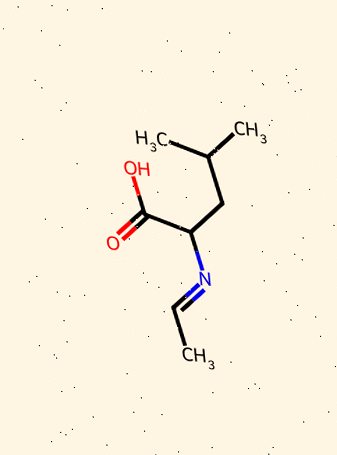 CC=NC(CC(C)C)C(=O)O